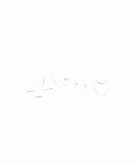 CC1(C)Oc2cc3oc(=O)ccc3cc2C[C@@H]1OC(=O)/C=C/c1ccccn1